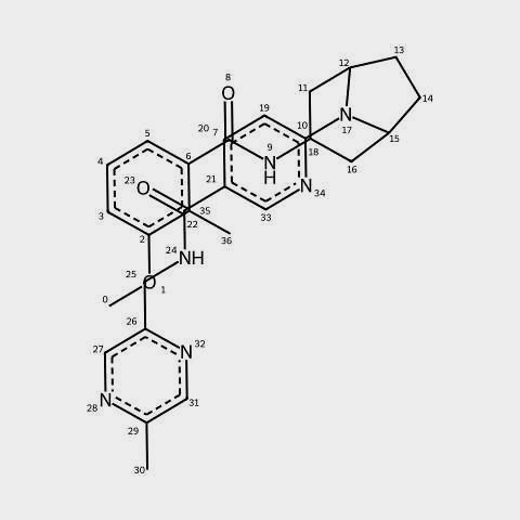 COc1cccc(C(=O)NC2CC3CCC(C2)N3c2ccc(C(=O)NCc3cnc(C)cn3)cn2)c1C